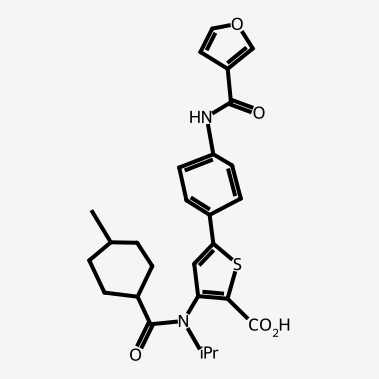 CC1CCC(C(=O)N(c2cc(-c3ccc(NC(=O)c4ccoc4)cc3)sc2C(=O)O)C(C)C)CC1